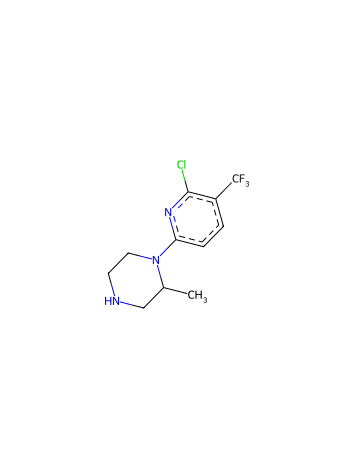 CC1CNCCN1c1ccc(C(F)(F)F)c(Cl)n1